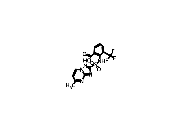 Cc1ccn2nc(S(=O)(=O)Nc3c(C(=O)O)cccc3C(F)(F)F)nc2n1